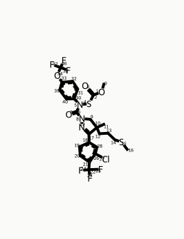 COC(=O)SN(C(=O)N1CC(C)(CCCSC)C(c2ccc(C(F)(F)F)c(Cl)c2)=N1)c1ccc(OC(F)(F)F)cc1